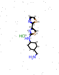 Cl.NCC1CCC(Nc2nc(-c3nccs3)cs2)CC1